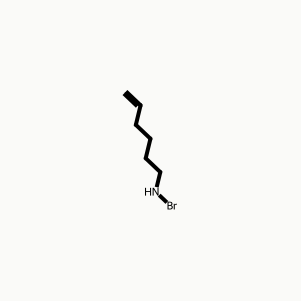 C=CCCCCNBr